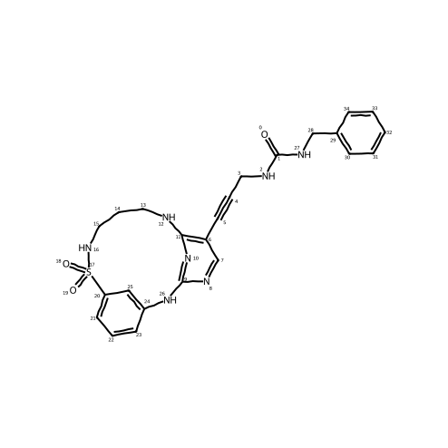 O=C(NCC#Cc1cnc2nc1NCCCNS(=O)(=O)c1cccc(c1)N2)NCc1ccccc1